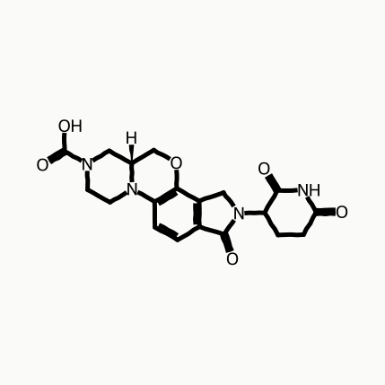 O=C1CCC(N2Cc3c(ccc4c3OC[C@H]3CN(C(=O)O)CCN43)C2=O)C(=O)N1